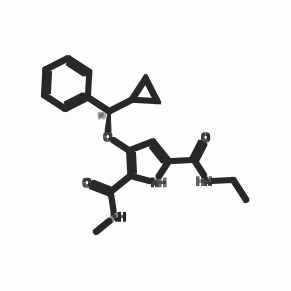 CCNC(=O)c1cc(O[C@@H](c2ccccc2)C2CC2)c(C(=O)NC)[nH]1